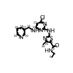 CCNC(=O)c1sc(Nc2nc(Cl)cc(NCc3cccnc3)n2)nc1C